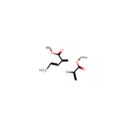 C=C(C=CC(=O)O)C(=O)OCCCC.C=C(CC)C(=O)OCCCCCC